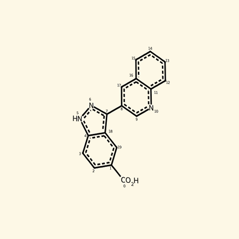 O=C(O)c1ccc2[nH]nc(-c3cnc4ccccc4c3)c2c1